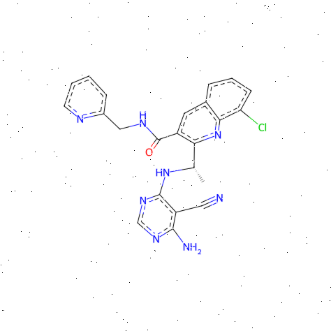 C[C@H](Nc1ncnc(N)c1C#N)c1nc2c(Cl)cccc2cc1C(=O)NCc1ccccn1